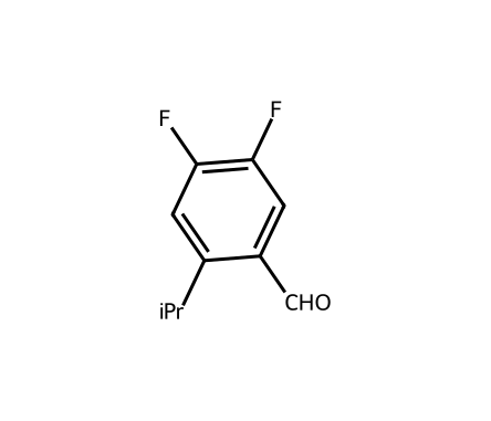 CC(C)c1cc(F)c(F)cc1C=O